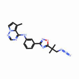 Cc1ccn2ncnc(Nc3cccc(-c4noc(C(C)(C)CN=[N+]=[N-])n4)c3)c12